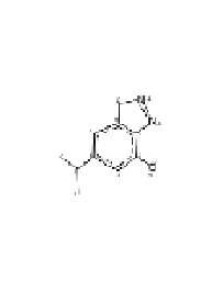 CC(C)c1cc(Cl)c2c(c1)CN=N2